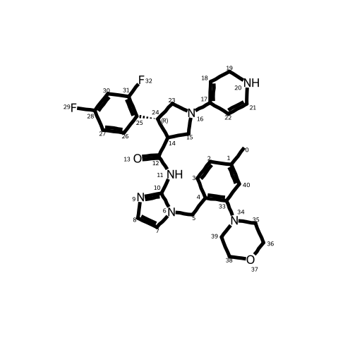 Cc1ccc(Cn2ccnc2NC(=O)C2CN(C3=CCNC=C3)C[C@H]2c2ccc(F)cc2F)c(N2CCOCC2)c1